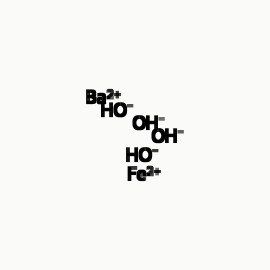 [Ba+2].[Fe+2].[OH-].[OH-].[OH-].[OH-]